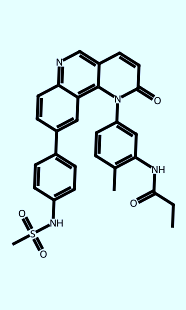 CCC(=O)Nc1cc(-n2c(=O)ccc3cnc4ccc(-c5ccc(NS(C)(=O)=O)cc5)cc4c32)ccc1C